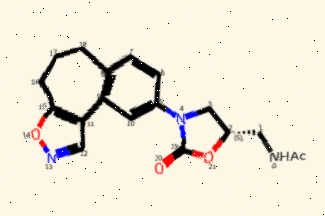 CC(=O)NC[C@H]1CN(c2ccc3c(c2)-c2cnoc2CCC3)C(=O)O1